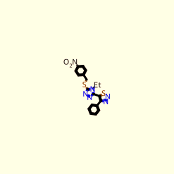 CCn1c(SCc2ccc([N+](=O)[O-])cc2)nnc1-c1snnc1-c1ccccc1